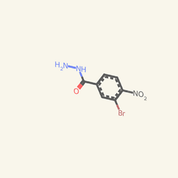 NNC(=O)c1ccc([N+](=O)[O-])c(Br)c1